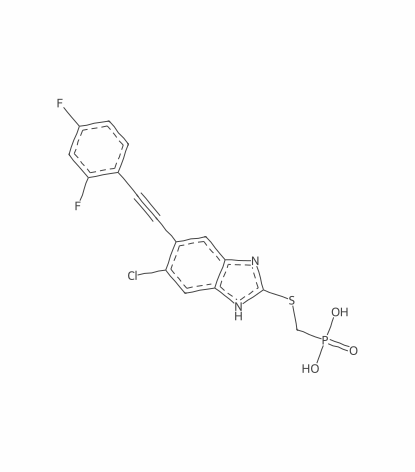 O=P(O)(O)CSc1nc2cc(C#Cc3ccc(F)cc3F)c(Cl)cc2[nH]1